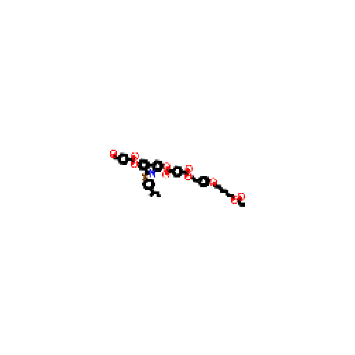 C=CC(=O)OCCCCCCOc1ccc(CCOC(=O)C2CCC(C(=O)Oc3ccc4c(c3)nc(SC3CCC(C(C)CC)CC3)c3cc(OC(=O)C5CCC(C=O)CC5)ccc34)CC2)cc1